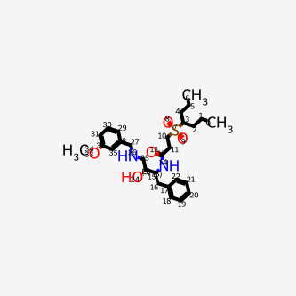 CCCC(CCC)S(=O)(=O)CCC(=O)N[C@@H](Cc1ccccc1)[C@@H](O)CNCc1cccc(OC)c1